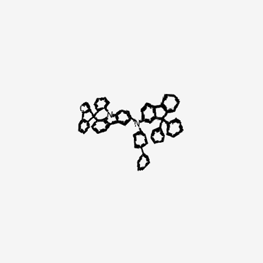 c1ccc(-c2ccc(N(c3ccc4c(c3)C(c3ccccc3)(c3ccccc3)c3ccccc3-4)c3ccc4c(c3)c3cccc5c3n4-c3ccccc3C53c4ccccc4-c4ccccc43)cc2)cc1